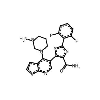 NC(=O)c1nc(-c2c(F)cccc2F)sc1-c1cnc2sccc2c1N1CCC[C@H](N)C1